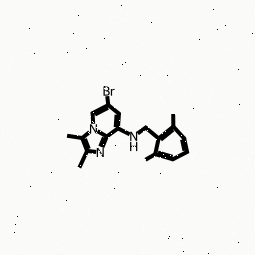 Cc1cccc(C)c1CNc1cc(Br)cn2c(C)c(C)nc12